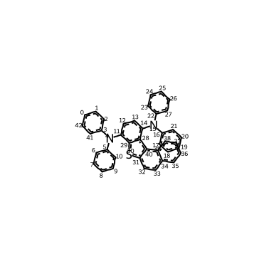 c1ccc(N(c2ccccc2)c2ccc(N(c3ccccc3)c3ccccc3)c3c2sc2ccc4ccccc4c23)cc1